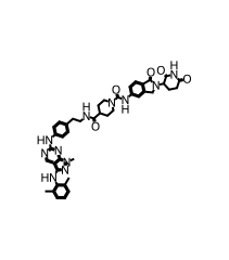 Cc1cccc(C)c1Nc1nn(C)c2nc(Nc3ccc(CCNC(=O)C4CCN(C(=O)Nc5ccc6c(c5)CN(C5CCC(=O)NC5=O)C6=O)CC4)cc3)ncc12